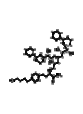 NCCCCc1ccc(CCC(NCCCN(C[C@H](O)[C@@H](O)[C@H]2CCOC(c3ccccc3)O2)C[C@H](O)[C@@H](O)[C@H]2CCOC(c3ccccc3)O2)C(N)=O)cc1